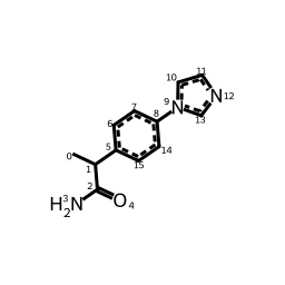 CC(C(N)=O)c1ccc(-n2ccnc2)cc1